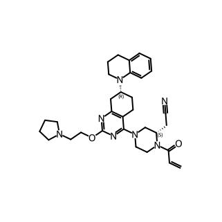 C=CC(=O)N1CCN(c2nc(OCCN3CCCC3)nc3c2CC[C@@H](N2CCCc4ccccc42)C3)C[C@@H]1CC#N